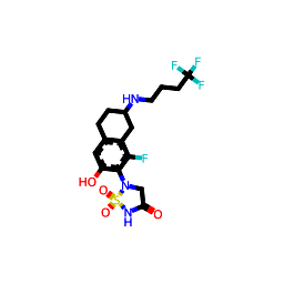 O=C1CN(c2c(O)cc3c(c2F)CC(NCCCC(F)(F)F)CC3)S(=O)(=O)N1